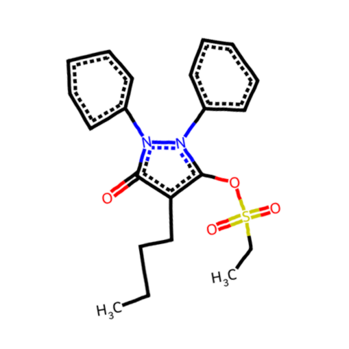 CCCCc1c(OS(=O)(=O)CC)n(-c2ccccc2)n(-c2ccccc2)c1=O